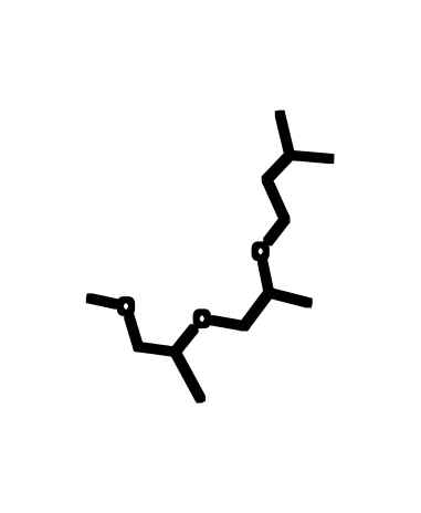 COCC(C)OCC(C)OCCC(C)C